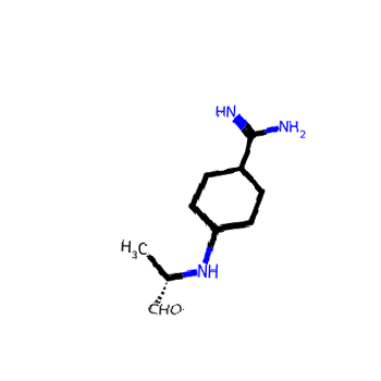 C[C@@H]([C]=O)NC1CCC(C(=N)N)CC1